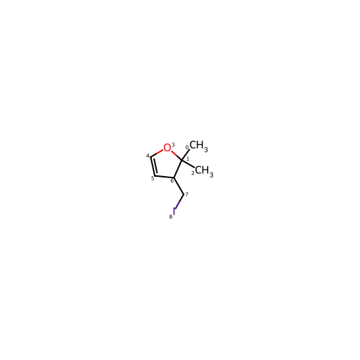 CC1(C)OC=CC1CI